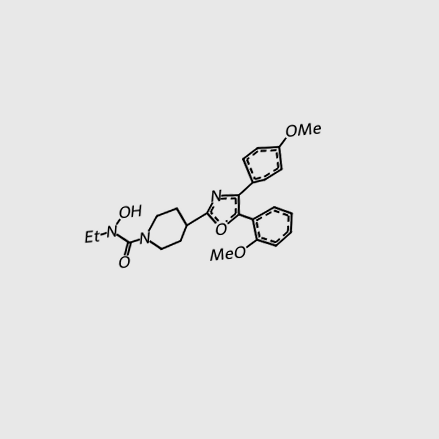 CCN(O)C(=O)N1CCC(c2nc(-c3ccc(OC)cc3)c(-c3ccccc3OC)o2)CC1